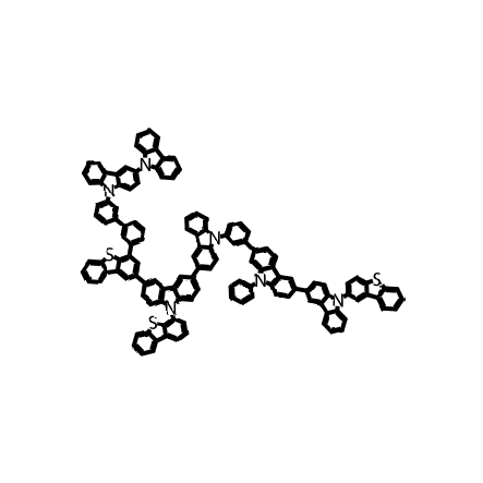 c1ccc(-n2c3ccc(-c4ccc5c(c4)c4ccccc4n5-c4ccc5sc6ccccc6c5c4)cc3c3ccc(-c4cccc(-n5c6ccccc6c6cc(-c7ccc8c(c7)c7cc(-c9cc(-c%10cccc(-c%11cccc(-n%12c%13ccccc%13c%13cc(-n%14c%15ccccc%15c%15ccccc%15%14)ccc%13%12)c%11)c%10)c%10sc%11ccccc%11c%10c9)ccc7n8-c7cccc8c7sc7ccccc78)ccc65)c4)cc32)cc1